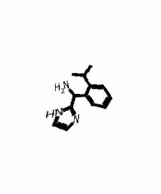 CC(C)c1ccccc1C(N)c1ncc[nH]1